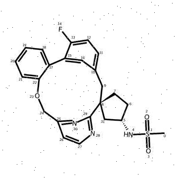 CS(=O)(=O)N[C@H]1CC[C@@]2(Cc3ccc(F)c(c3)-c3ccccc3OCc3ccnc2n3)C1